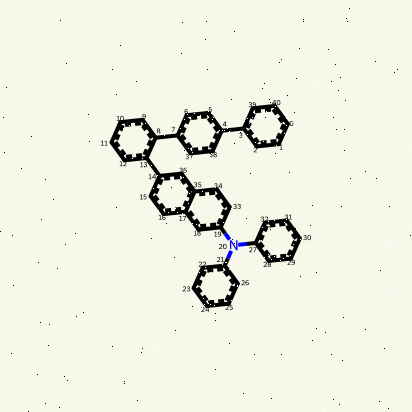 c1ccc(-c2ccc(-c3ccccc3-c3ccc4cc(N(c5ccccc5)c5ccccc5)ccc4c3)cc2)cc1